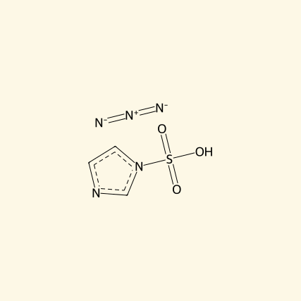 O=S(=O)(O)n1ccnc1.[N-]=[N+]=[N-]